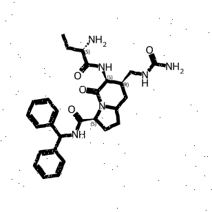 CC[C@H](N)C(=O)N[C@@H]1C(=O)N2C(CC[C@H]2C(=O)NC(c2ccccc2)c2ccccc2)C[C@@H]1CNC(N)=O